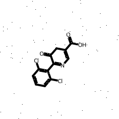 O=C(O)C1=CN=C(c2c(Cl)cccc2Cl)C(=O)C1